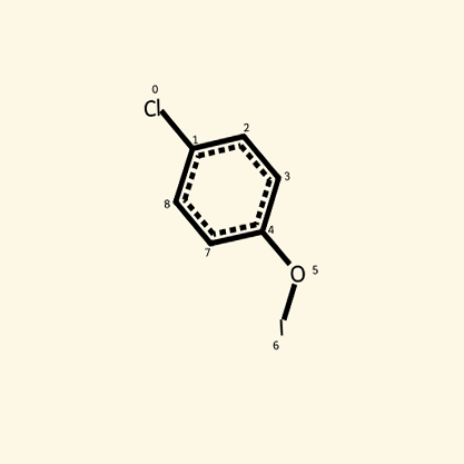 Clc1ccc(OI)cc1